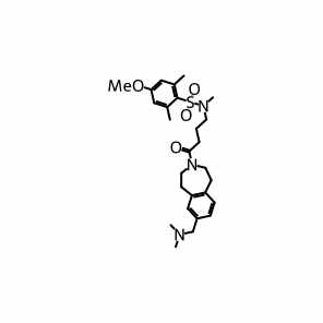 COc1cc(C)c(S(=O)(=O)N(C)CCCC(=O)N2CCc3ccc(CN(C)C)cc3CC2)c(C)c1